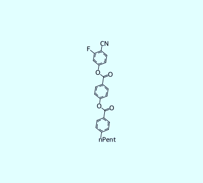 CCCCCc1ccc(C(=O)Oc2ccc(C(=O)Oc3ccc(C#N)c(F)c3)cc2)cc1